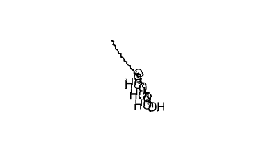 CCCCCCCCCCCCCCCCCC(=O)OCC(O)COCC(O)COCC(O)CO